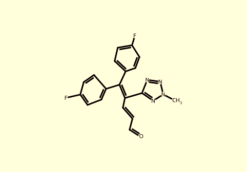 Cn1nnc(C(/C=C/C=O)=C(c2ccc(F)cc2)c2ccc(F)cc2)n1